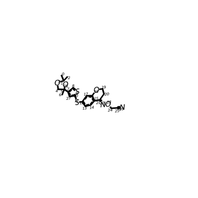 CC1(C)OCC(C)(c2csc(Sc3ccc4c(c3)OCC/C4=N\OCC#N)c2)O1